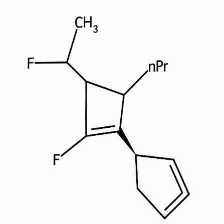 CCCC1C([C@H]2C=C=CC2)=C(F)C1C(C)F